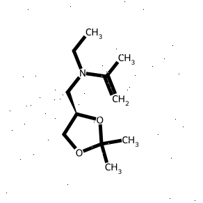 C=C(C)N(CC)C[C@@H]1COC(C)(C)O1